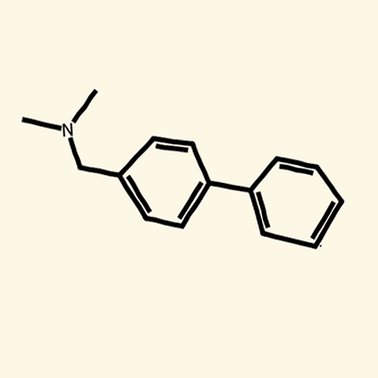 CN(C)Cc1ccc(-c2c[c]ccc2)cc1